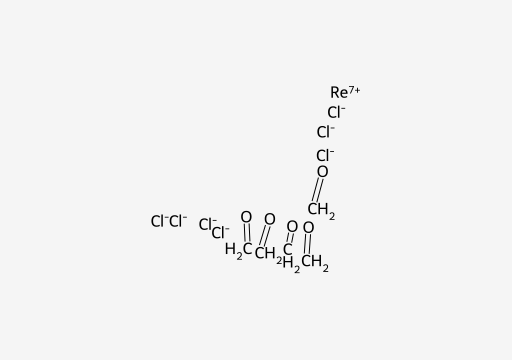 C=O.C=O.C=O.C=O.C=O.[Cl-].[Cl-].[Cl-].[Cl-].[Cl-].[Cl-].[Cl-].[Re+7]